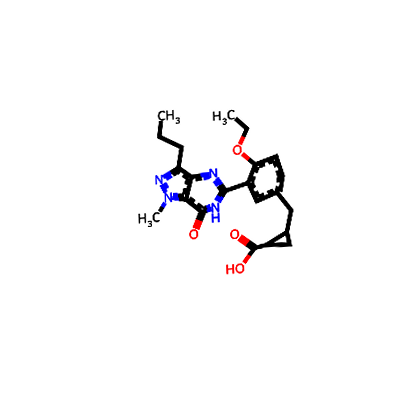 CCCc1nn(C)c2c(=O)[nH]c(-c3cc(CC4CC4C(=O)O)ccc3OCC)nc12